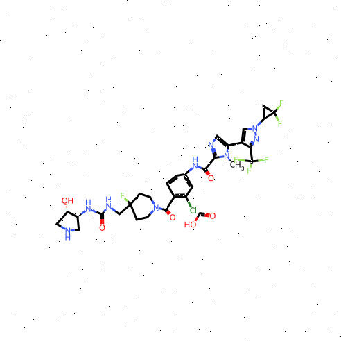 Cn1c(-c2cn(C3CC3(F)F)nc2C(F)(F)F)cnc1C(=O)Nc1ccc(C(=O)N2CCC(F)(CNC(=O)N[C@H]3CNC[C@@H]3O)CC2)c(Cl)c1.O=CO